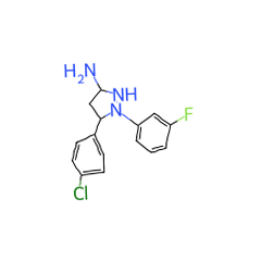 NC1CC(c2ccc(Cl)cc2)N(c2cccc(F)c2)N1